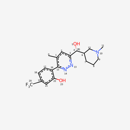 Cc1cc([C@H](O)C2CCCN(C)C2)nnc1-c1ccc(C(F)(F)F)cc1O